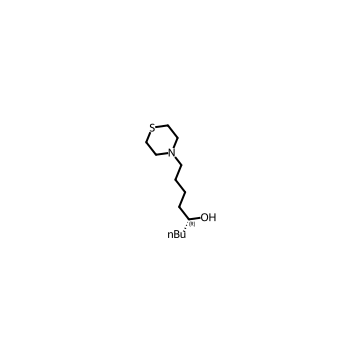 CCCC[C@@H](O)CCCCN1CCSCC1